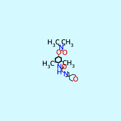 CCN(CC)C(=O)Oc1cc(C)c(NC(=O)CN2CC3(CCOCC3)C2)c(C)c1